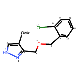 COc1c[nH]nc1COCc1ccccc1Cl